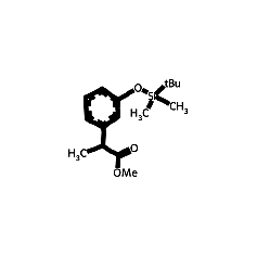 COC(=O)C(C)c1cccc(O[Si](C)(C)C(C)(C)C)c1